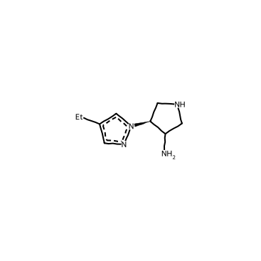 CCc1cnn([C@H]2CNCC2N)c1